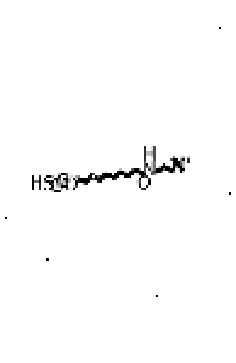 C[N+](C)(C)CCCNC(=O)CCCCCCCCCOOOS